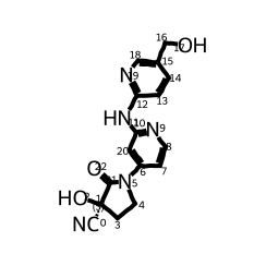 N#C[C@@]1(O)CCN(c2ccnc(Nc3ccc(CO)cn3)c2)C1=O